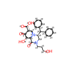 O=C(O)c1cn2c(c(O)c1=O)C(=O)N(CCCO)C[C@@H]2C(c1ccccc1)c1ccccc1